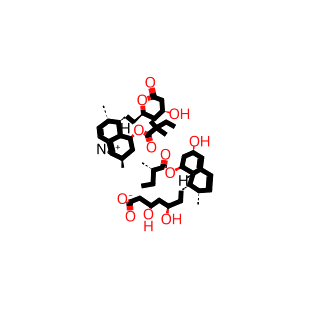 CCC(C)(C)C(=O)O[C@H]1C[C@@H](C)C=C2C=C[C@H](C)[C@H](CC[C@@H]3C[C@@H](O)CC(=O)O3)[C@H]21.CC[C@H](C)C(=O)O[C@H]1C[C@H](O)C=C2C=C[C@H](C)[C@H](CC[C@@H](O)C[C@@H](O)CC(=O)[O-])[C@H]21.[Na+]